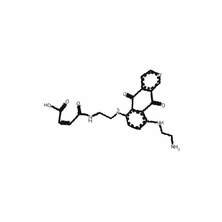 NCCNc1ccc(NCCNC(=O)/C=C\C(=O)O)c2c1C(=O)c1cnccc1C2=O